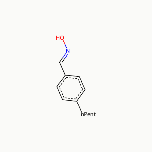 CCCCCc1ccc(/C=N/O)cc1